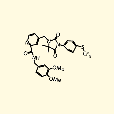 COc1ccc(CNC(=O)c2cc(CN3C(=O)N(c4ccc(SC(F)(F)F)cc4)C(=O)C3(C)C)ccn2)cc1OC